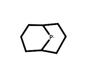 C1CC2CCCC(C1)[P]2